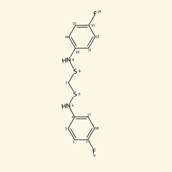 Fc1ccc(NSCSNc2ccc(F)cc2)cc1